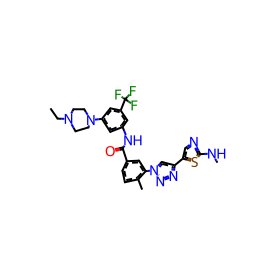 CCN1CCN(c2cc(NC(=O)c3ccc(C)c(-n4cc(-c5cnc(NC)s5)nn4)c3)cc(C(F)(F)F)c2)CC1